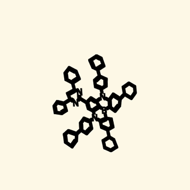 c1ccc(-c2ccc(N3c4cc(C5CCCCC5)ccc4B4c5ccc(C6CCCCC6)cc5N(c5ccc(-c6ccccc6)cc5)c5cc(-c6nc(-c7ccccc7)cc(-c7ccccc7)n6)cc3c54)cc2)cc1